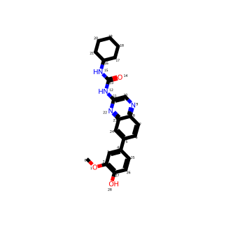 COc1cc(-c2ccc3ncc(NC(=O)NC4CCCCC4)nc3c2)ccc1O